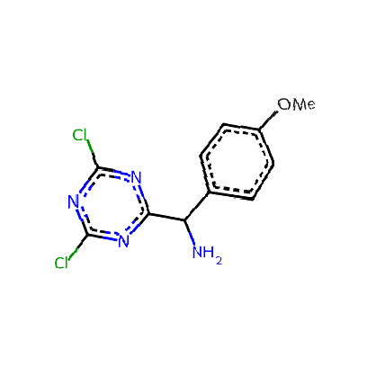 COc1ccc(C(N)c2nc(Cl)nc(Cl)n2)cc1